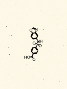 O=C(O)c1ccc(S(=O)(=O)Nc2ccc3ocnc3c2)cc1